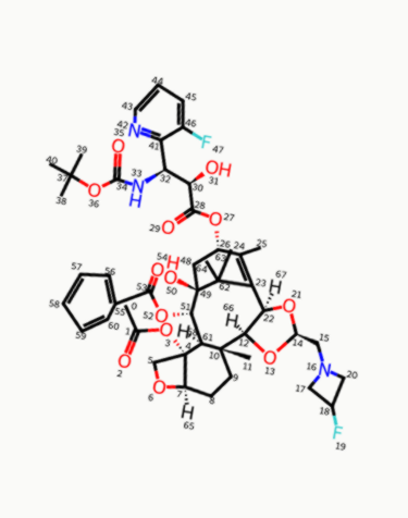 CC(=O)O[C@@]12CO[C@@H]1CC[C@@]1(C)[C@@H]3O[C@H](CN4CC(F)C4)O[C@@H]3C3=C(C)[C@@H](OC(=O)[C@H](O)[C@@H](NC(=O)OC(C)(C)C)c4ncccc4F)C[C@@](O)([C@@H](OC(=O)c4ccccc4)[C@@H]12)C3(C)C